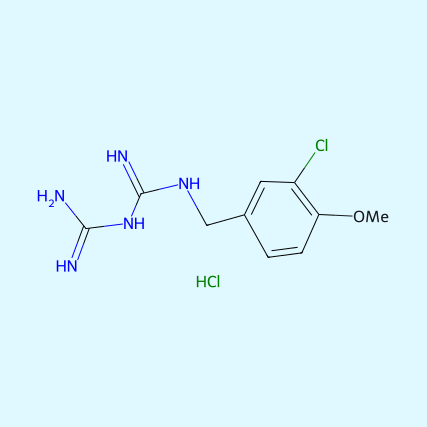 COc1ccc(CNC(=N)NC(=N)N)cc1Cl.Cl